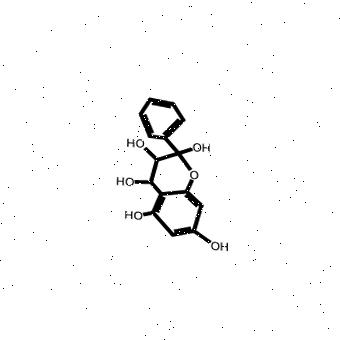 Oc1cc(O)c2c(c1)OC(O)(c1ccccc1)C(O)C2O